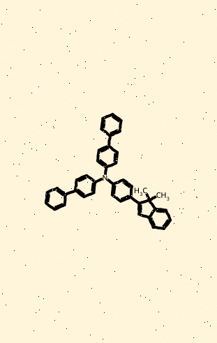 CC1(C)C(c2ccc(N(c3ccc(-c4ccccc4)cc3)c3ccc(-c4ccccc4)cc3)cc2)=Cc2ccccc21